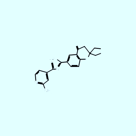 CCC1(CC)CC(=O)c2cc(-c3nc(-c4ccnc(N)c4)no3)ccc2O1